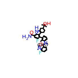 Cc1c(-c2c(F)cc(C(N)=O)c3[nH]c4c(c23)CCC(C(C)(C)O)C4)cccc1N(C)C(=O)c1cccc(F)c1N(C)C=O